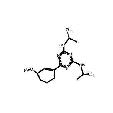 COC1C=C(c2nc(N[C@H](C)C(F)(F)F)nc(N[C@H](C)C(F)(F)F)n2)CCC1